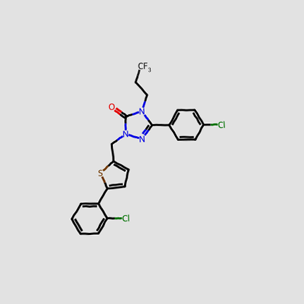 O=c1n(Cc2ccc(-c3ccccc3Cl)s2)nc(-c2ccc(Cl)cc2)n1CCC(F)(F)F